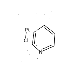 [Cl][Pt].c1ccncc1